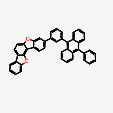 c1ccc(-c2c3ccccc3c(-c3cccc(-c4ccc5c(c4)oc4ccc6c7ccccc7oc6c45)c3)c3ccccc23)cc1